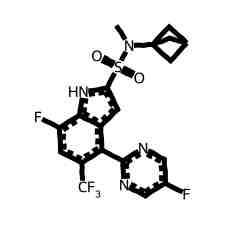 CN(C12CC(C1)C2)S(=O)(=O)c1cc2c(-c3ncc(F)cn3)c(C(F)(F)F)cc(F)c2[nH]1